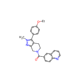 CCOc1ccc(-c2c3c(nn2C)CN(C(=O)c2ccc4ncccc4c2)CC3)cc1